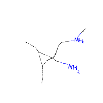 CNCC1(N)C(C)C1C